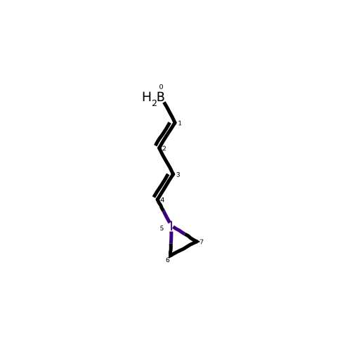 B/C=C/C=C/I1CC1